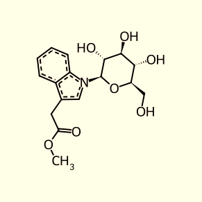 COC(=O)Cc1cn([C@@H]2O[C@H](CO)[C@@H](O)[C@H](O)[C@H]2O)c2ccccc12